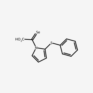 O=C(O)C(=[Se])n1cccc1Sc1ccccc1